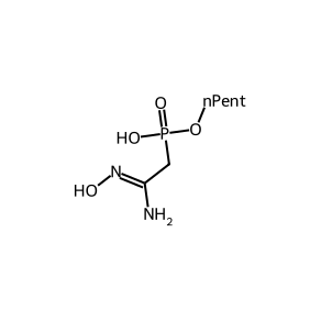 CCCCCOP(=O)(O)CC(N)=NO